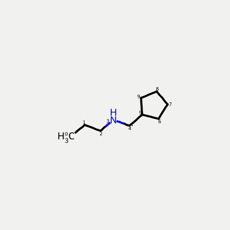 CCCN[CH]C1CCCC1